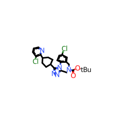 CC(C)(C)OC(=O)N1Cc2cc(Cl)ccc2-n2c(nnc2C2CCC(c3ncccc3Cl)CC2)C1